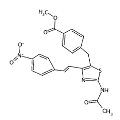 COC(=O)c1ccc(Cc2sc(NC(C)=O)nc2C=Cc2ccc([N+](=O)[O-])cc2)cc1